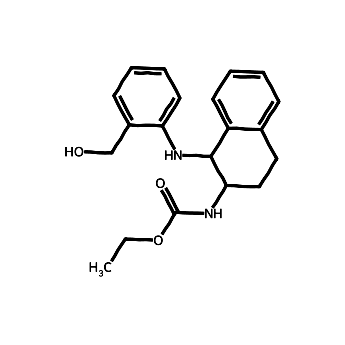 CCOC(=O)NC1CCc2ccccc2C1Nc1ccccc1CO